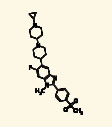 Cn1c(-c2ccc(S(C)(=O)=O)cc2)nc2cc(C3CCN(C4CCN(C5CC5)CC4)CC3)c(F)cc21